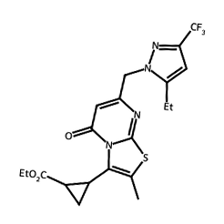 CCOC(=O)C1CC1c1c(C)sc2nc(Cn3nc(C(F)(F)F)cc3CC)cc(=O)n12